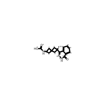 O=C(O)NC1CC2(C1)CC(F)(c1n[nH]c(=O)c3ccccc13)C2